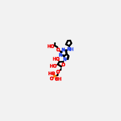 CC(O)COc1nc(NC2CCCC2)c2ccn([C@@H]3O[C@H](COCP(=O)(O)O)[C@@H](O)[C@H]3O)c2n1